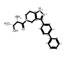 C[C@@H](O)[C@H](N)C(=O)N1CCc2[nH]nc(-c3ccc(-c4ccccc4)cc3)c2C1